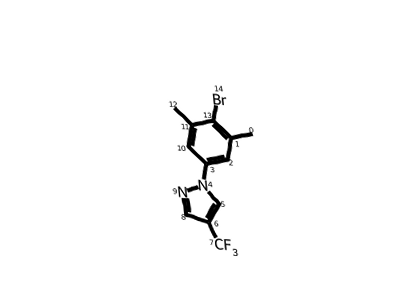 Cc1cc(-n2cc(C(F)(F)F)cn2)cc(C)c1Br